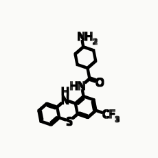 NC1CCC(C(=O)Nc2cc(C(F)(F)F)cc3c2Nc2ccccc2S3)CC1